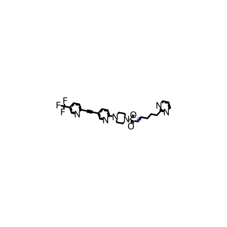 O=S(=O)(/C=C/CCCc1ncccn1)N1CCN(c2ccc(C#Cc3ccc(C(F)(F)F)cn3)cn2)CC1